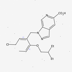 C/C=C(OCC(CC)CC)\C(=C/CCl)Cn1ncc2cc(C(=O)O)ncc21